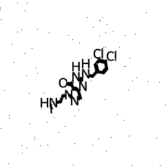 O=c1[nH]c(NCc2ccc(Cl)c(Cl)c2)nc2cnn(CCNI)c12